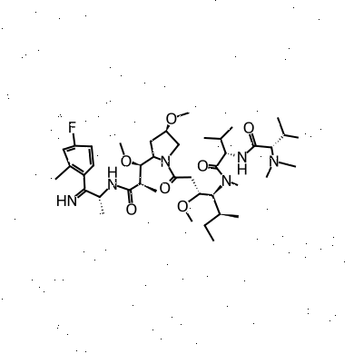 CC[C@H](C)[C@@H]([C@@H](CC(=O)N1C[C@H](OC)CC1[C@H](OC)[C@@H](C)C(=O)N[C@H](C)C(=N)c1ccc(F)cc1C)OC)N(C)C(=O)[C@@H](NC(=O)[C@H](C(C)C)N(C)C)C(C)C